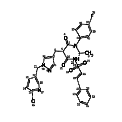 CCN(C(=O)C(Cc1cnn(Cc2ccc(Cl)nc2)c1)C(=O)NS(=O)(=O)C=Cc1ccccc1)c1ccc(F)cc1